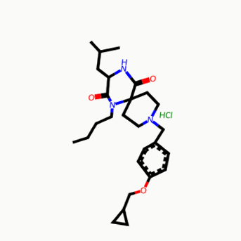 CCCCN1C(=O)C(CC(C)C)NC(=O)C12CCN(Cc1ccc(OCC3CC3)cc1)CC2.Cl